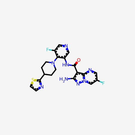 Nc1nn2cc(F)cnc2c1C(=O)Nc1cncc(F)c1N1CCC(c2nccs2)CC1